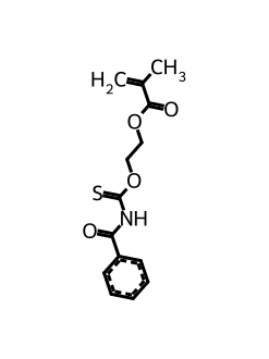 C=C(C)C(=O)OCCOC(=S)NC(=O)c1ccccc1